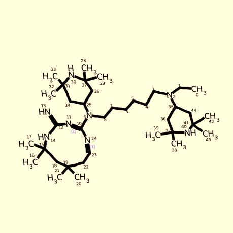 CCN(CCCCCCN(C1=N/C(=N)NC(C)(C)CC(C)(C)C/C=N\1)C1CC(C)(C)NC(C)(C)C1)C1CC(C)(C)NC(C)(C)C1